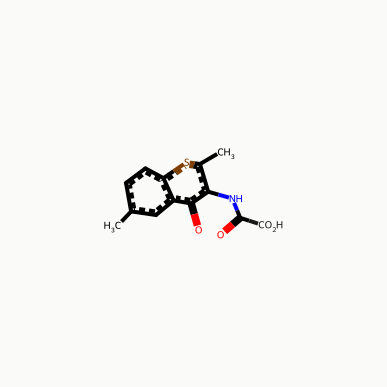 Cc1ccc2sc(C)c(NC(=O)C(=O)O)c(=O)c2c1